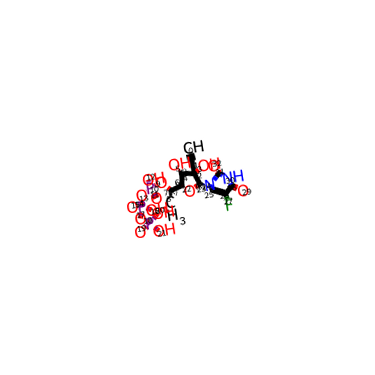 C#CC1(O)[C@@H](O)[C@@H]([C@@H](C)OP(=O)(O)OP(=O)(O)OP(=O)(O)O)O[C@H]1n1cc(F)c(=O)[nH]c1=O